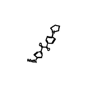 CNc1ccc(C(=O)C(=O)c2ccc(N3CCCC3)cc2)cc1